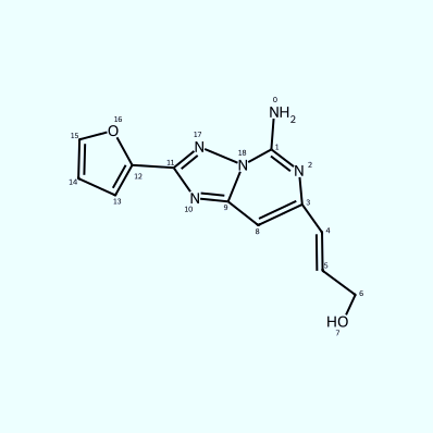 Nc1nc(C=CCO)cc2nc(-c3ccco3)nn12